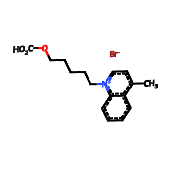 Cc1cc[n+](CCCCCOC(=O)O)c2ccccc12.[Br-]